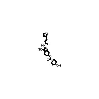 N#Cc1c(NC(=O)C=Cc2ccoc2)sc2c1CCC(OC(=O)N1CCC(O)CC1)C2